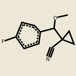 COC(c1ccc(F)cc1)C1(C#N)CC1